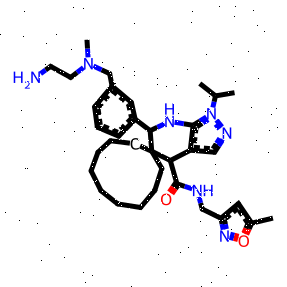 Cc1cc(CNC(=O)C2c3cnn(C(C)C)c3NC(c3cccc(CN(C)CCN)c3)C23CCCCCCCCC3)no1